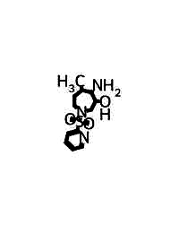 CC1CCN(S(=O)(=O)c2ccccn2)CC(O)C1N